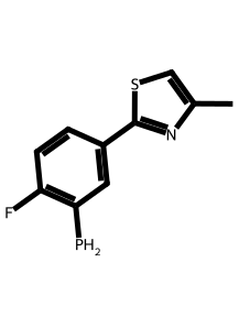 Cc1csc(-c2ccc(F)c(P)c2)n1